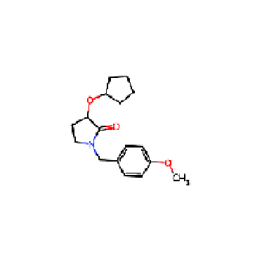 COc1ccc(CN2CCC(OC3CCCC3)C2=O)cc1